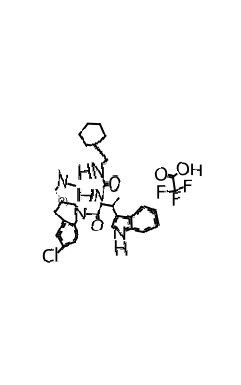 CC(c1c[nH]c2ccccc12)C(NC(=O)NCC1CCCCC1)C(=O)N1C[C@@H](CN(C)C)Cc2cc(Cl)ccc21.O=C(O)C(F)(F)F